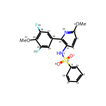 COc1ccc(NS(=O)(=O)c2ccccc2)c(-c2cc(F)c(OC)c(F)c2)n1